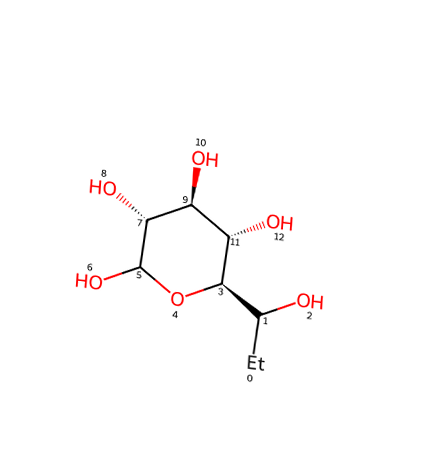 CCC(O)[C@H]1OC(O)[C@H](O)[C@@H](O)[C@@H]1O